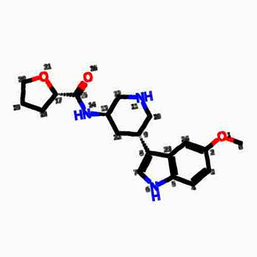 COc1ccc2[nH]cc([C@H]3CNC[C@H](NC(=O)[C@@H]4CCCO4)C3)c2c1